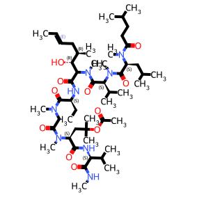 C/C=C/C[C@@H](C)[C@@H](O)C(C(=O)N[C@@H](CC)C(=O)N(C)CC(=O)N(C)[C@@H](CC(C)(C)OC(C)=O)C(=O)N[C@H](C(=O)NC)C(C)C)N(C)C(=O)[C@H](C(C)C)N(C)C(=O)[C@H](CC(C)C)N(C)C(=O)CCC(C)C